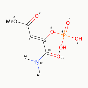 COC(=O)C=C(OP(=O)(O)O)C(=O)N(C)C